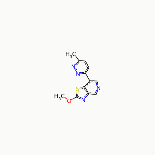 COc1nc2cncc(-c3ccc(C)nn3)c2s1